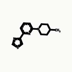 CC1CCN(c2cccc(-c3cs[c]n3)n2)CC1